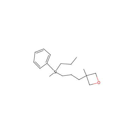 CCC[Si](C)(CCCC1(C)COC1)c1ccccc1